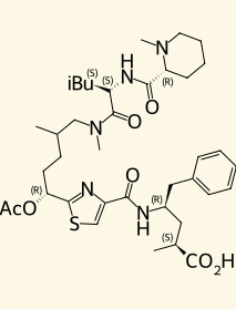 CC[C@H](C)[C@H](NC(=O)[C@H]1CCCCN1C)C(=O)N(C)CC(C)CC[C@@H](OC(C)=O)c1nc(C(=O)N[C@@H](Cc2ccccc2)C[C@H](C)C(=O)O)cs1